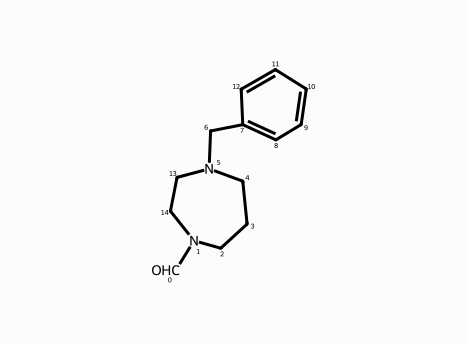 O=CN1CCCN(Cc2ccccc2)CC1